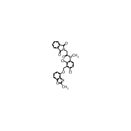 Cc1nc2c(OCc3c(Cl)ccc(N(C)C(=O)CN4C(=O)c5ccccc5C4=O)c3Cl)cccc2o1